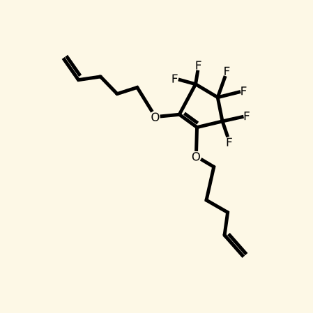 C=CCCCOC1=C(OCCCC=C)C(F)(F)C(F)(F)C1(F)F